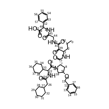 CCCC(NC(=O)[C@@H]1C[C@@H](OCc2ccccc2)CN1C(=O)C(NC(=O)CC1CCCCC1)C1CCCCC1)C(=O)C(=O)NCC(=O)NC(C(=O)O)c1ccccc1